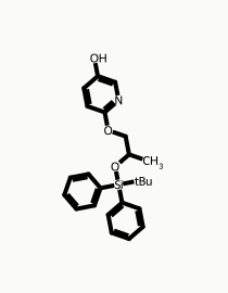 CC(COc1ccc(O)cn1)O[Si](c1ccccc1)(c1ccccc1)C(C)(C)C